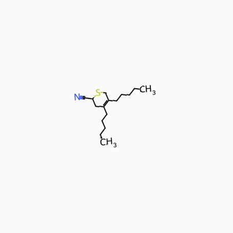 CCCCCC1=C(CCCCC)CC(C#N)SC1